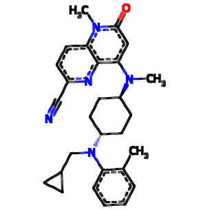 Cc1ccccc1N(CC1CC1)[C@H]1CC[C@H](N(C)c2cc(=O)n(C)c3ccc(C#N)nc23)CC1